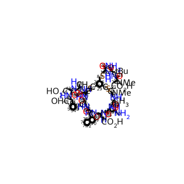 CNC1CSCc2cc(CSCC(NC(=O)C(NC(=O)C(CC(=O)O)NC)C(C)(C)C)C(N)=O)cc(c2)CSCC(C(=O)NC(C)C(=O)NC(CC(=O)O)C(=O)NC(C=O)Cc2ccccc2)NC(=O)C(C)NC(=O)C(Cc2cccc3ccccc23)NC(=O)C(CCC(=O)O)NC(=O)C(CC(N)=O)NC(=O)C(C)N1